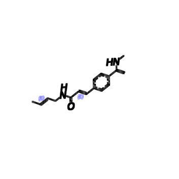 C=C(NC)c1ccc(/C=C/C(=O)NC/C=C/C)cc1